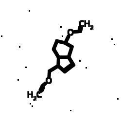 C=COCC1C=CC2CC(OC=C)CCC12